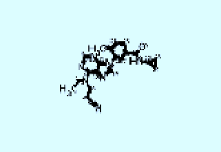 CCN(CCC#N)c1ncnc2c1ncn2-c1cc(C(=O)NC2CC2)ccc1C